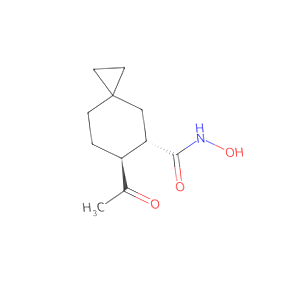 CC(=O)[C@H]1CCC2(CC2)C[C@@H]1C(=O)NO